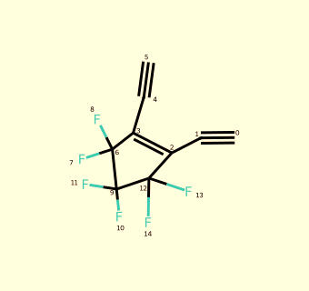 C#CC1=C(C#C)C(F)(F)C(F)(F)C1(F)F